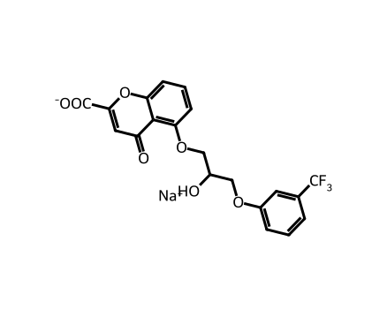 O=C([O-])c1cc(=O)c2c(OCC(O)COc3cccc(C(F)(F)F)c3)cccc2o1.[Na+]